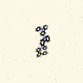 c1ccc(-c2cccc3c2sc2c(-n4c5ccccc5c5c6c7ccccc7n(-c7ccc8c(c7)c7cnccc7n8-c7ccccc7)c6ccc54)cccc23)cc1